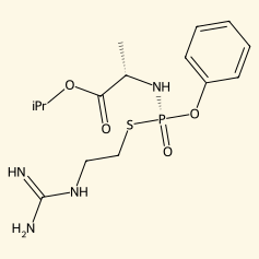 CC(C)OC(=O)[C@H](C)N[P@@](=O)(Oc1ccccc1)SCCNC(=N)N